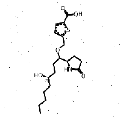 CCCCC[C@@H](O)CCC(OCc1ccc(C(=O)O)s1)C1CCC(=O)N1